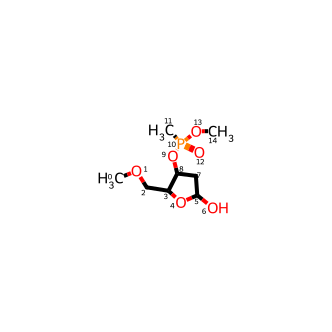 COCC1OC(O)CC1OP(C)(=O)OC